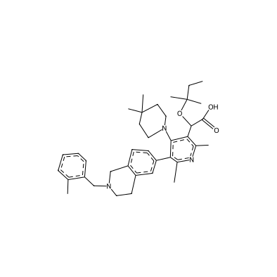 CCC(C)(C)OC(C(=O)O)c1c(C)nc(C)c(-c2ccc3c(c2)CCN(Cc2ccccc2C)C3)c1N1CCC(C)(C)CC1